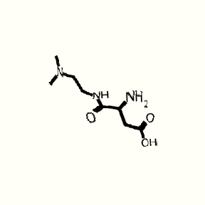 CN(C)CCNC(=O)C(N)CC(=O)O